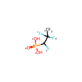 O=P(O)(O)C(F)C(F)(F)C(F)(F)F